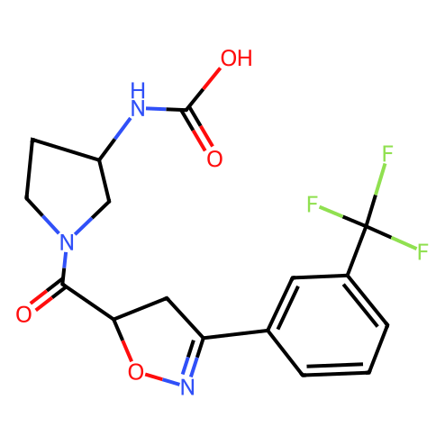 O=C(O)NC1CCN(C(=O)C2CC(c3cccc(C(F)(F)F)c3)=NO2)C1